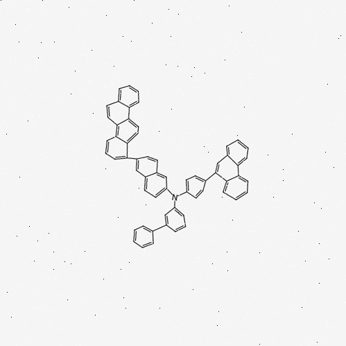 c1ccc(-c2cccc(N(c3ccc(-c4cc5ccccc5c5ccccc45)cc3)c3ccc4cc(-c5cccc6c5ccc5c7ccccc7ccc65)ccc4c3)c2)cc1